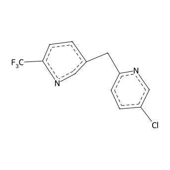 FC(F)(F)c1ccc(Cc2ccc(Cl)cn2)cn1